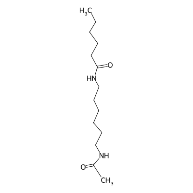 CCCCCC(=O)NCCCCCCNC(C)=O